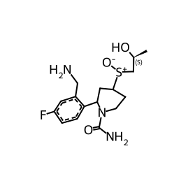 C[C@H](O)C[S+]([O-])C1CCN(C(N)=O)C(c2ccc(F)cc2CN)C1